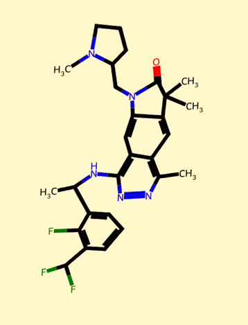 Cc1nnc(NC(C)c2cccc(C(F)F)c2F)c2cc3c(cc12)C(C)(C)C(=O)N3CC1CCCN1C